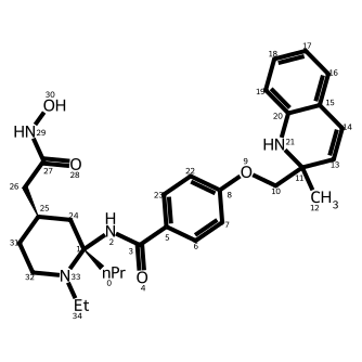 CCC[C@]1(NC(=O)c2ccc(OCC3(C)C=Cc4ccccc4N3)cc2)C[C@H](CC(=O)NO)CCN1CC